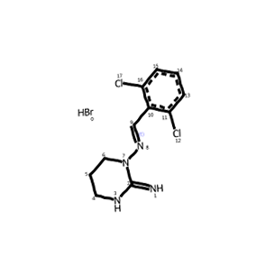 Br.N=C1NCCCN1/N=C/c1c(Cl)cccc1Cl